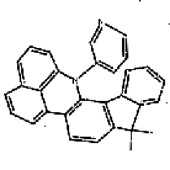 CC1(C)c2ccccc2-c2c1ccc1c2N(c2cccnc2)c2cccc3cccc-1c23